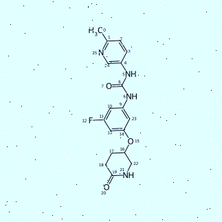 Cc1ccc(NC(=O)Nc2cc(F)cc(OC3CCC(=O)NC3)c2)cn1